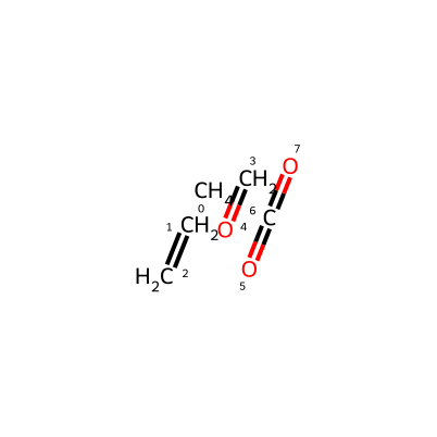 C.C=C.C=O.O=C=O